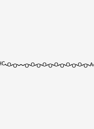 C#CCOCCOCCCCCOCCOCCOCCOCCOCCOCCOCCOCCOCCOCCOCCC(C)=O